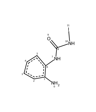 Nc1ccccc1NC(=O)NI